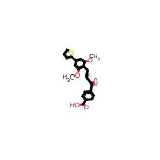 COc1cc(-c2cccs2)cc(OC)c1/C=C/C(=O)c1ccc(C(=O)O)cc1